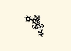 O=C(NCc1cccs1)c1nn2c(C(F)(F)F)cc(-c3ccccc3)cc2c1Br